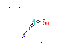 N#CCCCCCOc1ccc(OC(F)(F)c2ccc(C=CC(=O)O)cc2)cc1